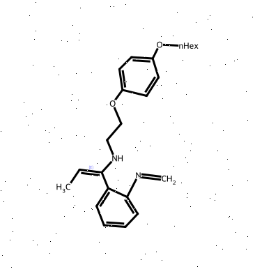 C=Nc1ccccc1/C(=C\C)NCCOc1ccc(OCCCCCC)cc1